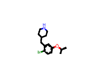 CC(C)Oc1ccc(Br)c(CC2CCNCC2)c1